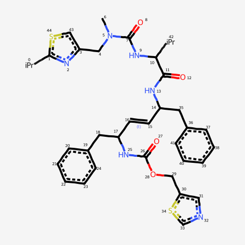 CC(C)c1nc(CN(C)C(=O)NC(C(=O)NC(/C=C/C(Cc2ccccc2)NC(=O)OCc2cncs2)Cc2ccccc2)C(C)C)cs1